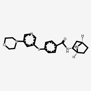 O=C(N[C@@H]1C[C@H]2CC[C@@H]1N2)c1ccc(Sc2cncc(N3CCOCC3)c2)cc1